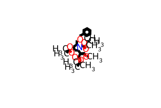 CO/C=C(\C(=O)OC(C)(C)C)C1C2OC(C)(C)OC2C(COCc2ccccc2)N1C(=O)OC(C)(C)C